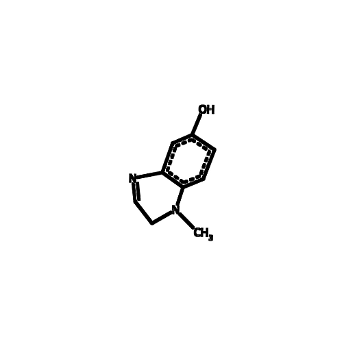 CN1CC=Nc2cc(O)ccc21